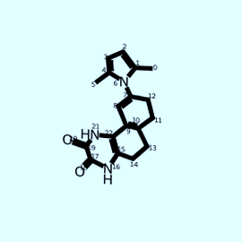 Cc1ccc(C)n1C1=CC2=C(CC1)CCc1[nH]c(=O)c(=O)[nH]c12